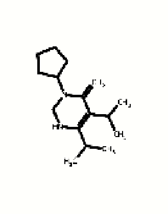 C=C1C(C(C)C)=C(C(C)C)NCN1C1CCCC1